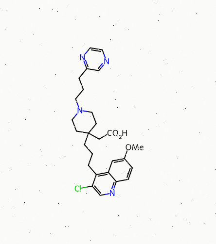 COc1ccc2ncc(Cl)c(CCCC3(CC(=O)O)CCN(CCCc4cnccn4)CC3)c2c1